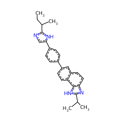 CCC(C)c1ncc(-c2ccc(-c3ccc4c(ccc5nc(C(C)C)[nH]c54)c3)cc2)[nH]1